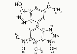 COc1ccc2nnn(O)c2c1.Cc1c([N+](=O)[O-])ccc2nnn(O)c12